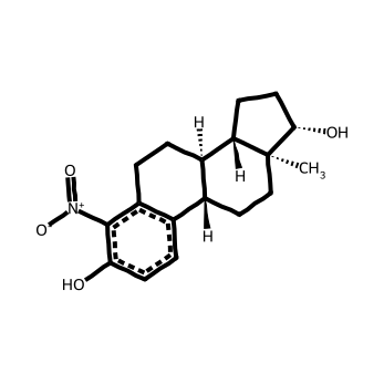 C[C@]12CC[C@@H]3c4ccc(O)c([N+](=O)[O-])c4CC[C@H]3[C@@H]1CC[C@@H]2O